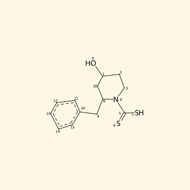 OC1CCN(C(=S)S)C(Cc2ccccc2)C1